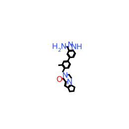 Cc1cc(-c2ccc3[nH]nc(N)c3c2)ccc1CN1CCn2c(cc3c2CCC3)C1=O